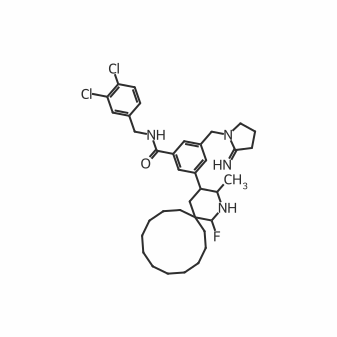 CC1NC(F)C2(CCCCCCCCCCC2)CC1c1cc(CN2CCCC2=N)cc(C(=O)NCc2ccc(Cl)c(Cl)c2)c1